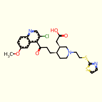 COc1ccc2ncc(Cl)c(C(=O)CC[C@@H]3CCN(CCSc4nccs4)C[C@@H]3CC(=O)O)c2c1